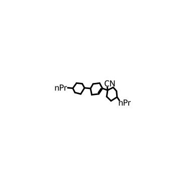 CCCC1CCC(C2CC=C(C3(C#N)CCC(CCC)CC3)CC2)CC1